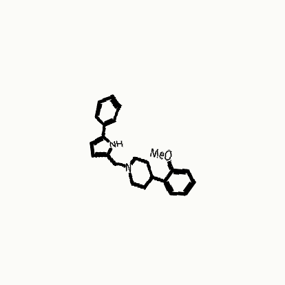 COc1ccccc1C1CCN(Cc2ccc(-c3ccccc3)[nH]2)CC1